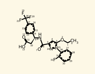 CCOc1cc(C(=O)N[C@@H](CC(=O)O)c2ccc(C(F)(F)F)cc2)nn1-c1ccccc1F